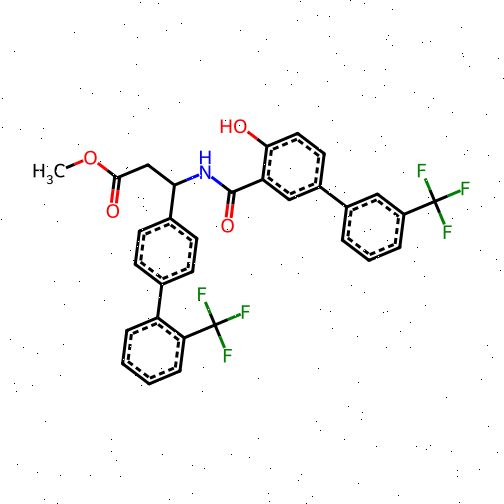 COC(=O)CC(NC(=O)c1cc(-c2cccc(C(F)(F)F)c2)ccc1O)c1ccc(-c2ccccc2C(F)(F)F)cc1